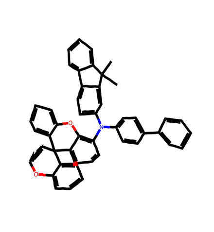 CC1(C)c2ccccc2-c2ccc(N(c3ccc(-c4ccccc4)cc3)c3cccc4c3Oc3ccccc3C43c4ccccc4Oc4ccccc43)cc21